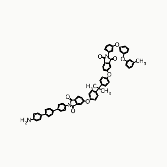 Cc1cccc(Oc2cccc(Oc3cccc(N4C(=O)c5ccc(Oc6ccc(C(C)(C)c7ccc(Oc8ccc9c(c8)C(=O)N(c8ccc(-c%10ccc(-c%11ccc(N)cc%11)cc%10)cc8)C9=O)cc7)cc6)cc5C4=O)c3)c2)c1